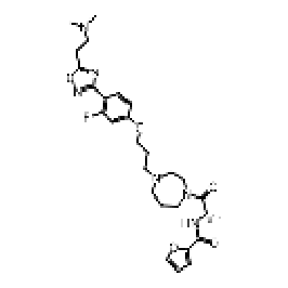 C[C@H](NC(=O)c1ccco1)C(=O)N1CCCN(CCCOc2ccc(-c3noc(CCN(C)C)n3)c(F)c2)CC1